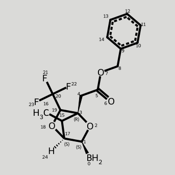 B[C@@H]1O[C@]2(CC(=O)OCc3ccccc3)C(C)[C@@H]1OC2C(F)(F)F